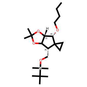 CCCCO[C@H]1[C@H]2OC(C)(C)OC2[C@@H](CO[Si](C)(C)C(C)(C)C)C12CC2